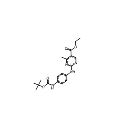 CCOC(=O)c1cnc(Nc2ccc(NC(=O)OC(C)(C)C)cc2)nc1C